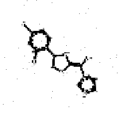 Cl/C(=C1/SCC(c2ccc(Cl)cc2Cl)S1)n1ccnc1